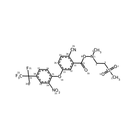 CN(CCS(C)(=O)=O)OC(=O)c1cc(Oc2ccc(C(F)(F)C(F)(F)F)cc2[N+](=O)[O-])ccc1C#N